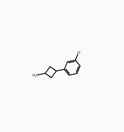 NC1CC(c2cccc(Cl)c2)C1